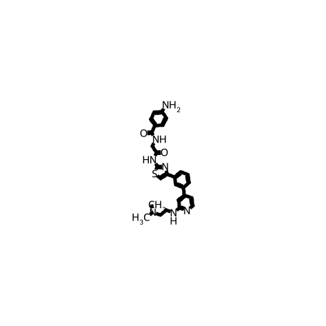 CN(C)CCNc1cc(-c2cccc(-c3csc(NC(=O)CNC(=O)c4ccc(N)cc4)n3)c2)ccn1